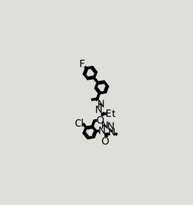 CC/C(=N\N=C(/C)c1cccc(-c2ccc(F)cc2)c1)OCc1c(Cl)cccc1-n1nnn(C)c1=O